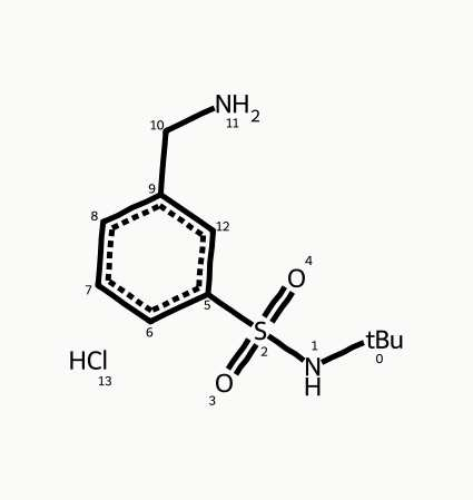 CC(C)(C)NS(=O)(=O)c1cccc(CN)c1.Cl